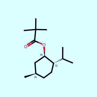 CC(C)[C@@H]1CC[C@@H](C)C[C@H]1OC(=O)C(C)(C)C